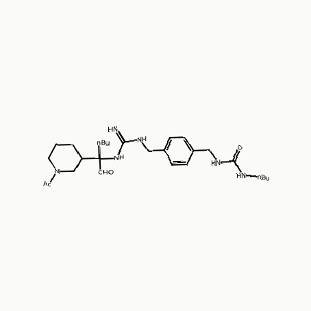 CCCCNC(=O)NCc1ccc(CNC(=N)NC(C=O)(CCCC)C2CCCN(C(C)=O)C2)cc1